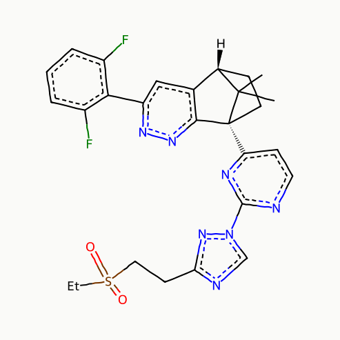 CCS(=O)(=O)CCc1ncn(-c2nccc([C@]34CC[C@@H](c5cc(-c6c(F)cccc6F)nnc53)C4(C)C)n2)n1